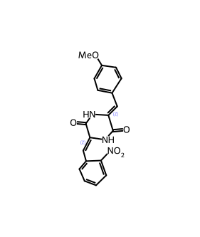 COc1ccc(/C=c2\[nH]c(=O)/c(=C/c3ccccc3[N+](=O)[O-])[nH]c2=O)cc1